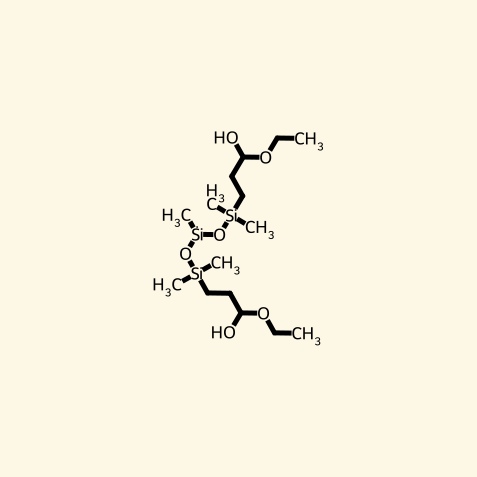 CCOC(O)CC[Si](C)(C)O[Si](C)O[Si](C)(C)CCC(O)OCC